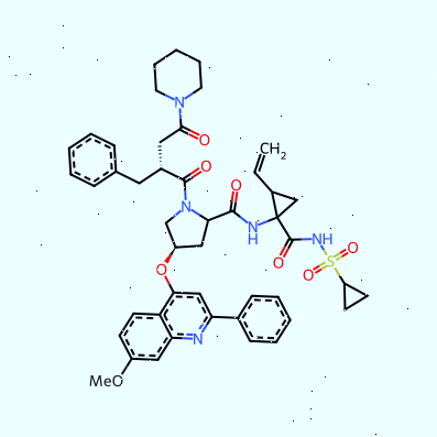 C=CC1CC1(NC(=O)C1C[C@@H](Oc2cc(-c3ccccc3)nc3cc(OC)ccc23)CN1C(=O)[C@@H](CC(=O)N1CCCCC1)Cc1ccccc1)C(=O)NS(=O)(=O)C1CC1